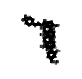 CC(C)[C@@H]1CC[C@]2(C(=O)NCCN3CCS(=O)(=O)CC3)CC[C@]3(C)[C@H](CC[C@@H]4[C@@]5(C)CC=C(c6ccc(C(=O)O)cc6F)C(C)(C)[C@@H]5CC[C@]43C)[C@@H]12